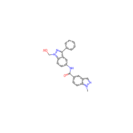 Cn1ncc2cc(C(=O)Nc3ccc4c(c3)c(-c3ccccc3)nn4CO)ccc21